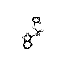 O=C(Nc1noc2ccccc12)Oc1cccs1